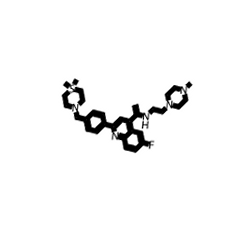 C=C(NCCN1CCN(C)CC1)c1cc(-c2ccc(CN3CCS(C)(C)CC3)cc2)nc2ccc(F)cc12